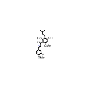 COc1ccc(/C=C/C(=O)c2c(OC)cc(O)c(CC=C(C)C)c2O)cc1F